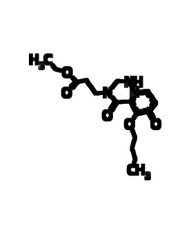 CCCCOc1c2n(ccc1=O)NCN(CCC(=O)OCC)C2=O